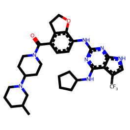 CC1CCCN(C2CCN(C(=O)c3ccc(Nc4nc(NC5CCCC5)c5c(C(F)(F)F)c[nH]c5n4)c4c3CCO4)CC2)C1